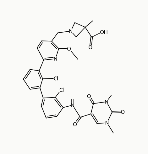 COc1nc(-c2cccc(-c3cccc(NC(=O)c4cn(C)c(=O)n(C)c4=O)c3Cl)c2Cl)ccc1CN1CC(C)(C(=O)O)C1